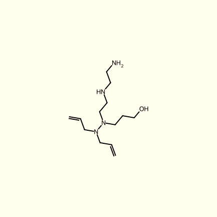 C=CCN(CC=C)N(CCCO)CCNCCN